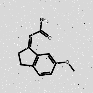 COc1ccc2c(c1)/C(=C\C(N)=O)CC2